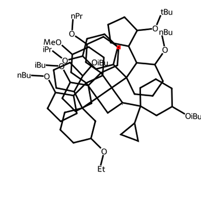 CCCCOC1CCCC1C1(C2(C3(C4CCCC4OCC(C)C)CCCC(OCC)C3)C[C](C3(C4CC4)CCCC(OCC(C)C)C3)C2(C2(C3CCCC3OC(C)CC)CCCC(OCCC)C2)C2(C3CCCC(OC(C)C)C3)CCCC(OCCCC)C2C2CCCC2OC(C)(C)C)CCCC(OC)C1